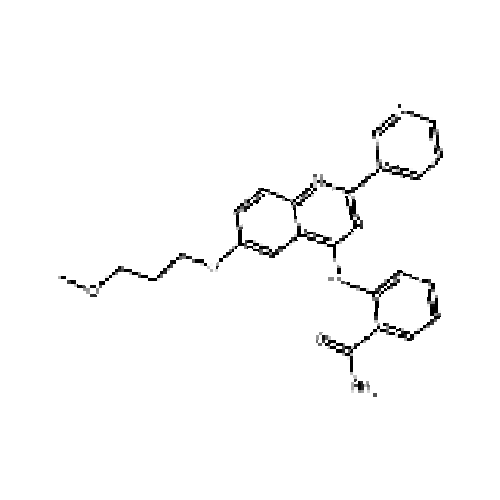 COCCCOc1ccc2nc(-c3cccnc3)nc(Nc3ccccc3C(N)=O)c2c1